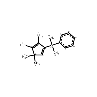 CC1=C(C)C(C)(C)[C]=C1[Si](C)(C)c1ccccc1